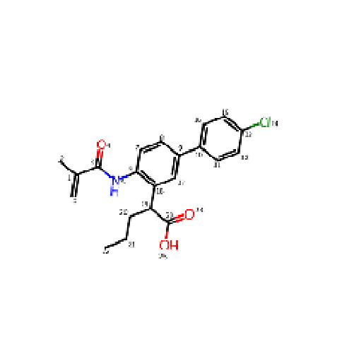 C=C(C)C(=O)Nc1ccc(-c2ccc(Cl)cc2)cc1C(CCC)C(=O)O